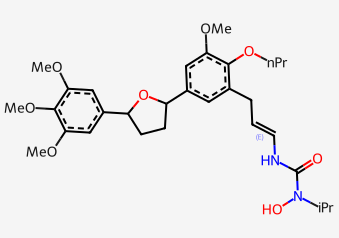 CCCOc1c(C/C=C/NC(=O)N(O)C(C)C)cc(C2CCC(c3cc(OC)c(OC)c(OC)c3)O2)cc1OC